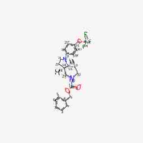 O=C(OCc1ccccc1)N1CC[C@H]2[C@H](CCN2c2ccc(OC(F)(F)F)cc2)C1